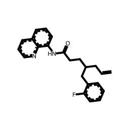 C=CCC(CCC(=O)Nc1cccc2cccnc12)Cc1ccccc1F